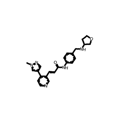 Cn1cc(-c2ccncc2C=CC(=O)Nc2ccc(CNC3CCOC3)cc2)cn1